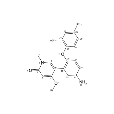 COc1cc(=O)n(C)cc1-c1cc(N)ccc1Oc1ccc(F)cc1F